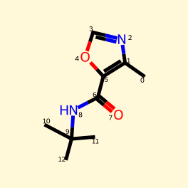 Cc1ncoc1C(=O)NC(C)(C)C